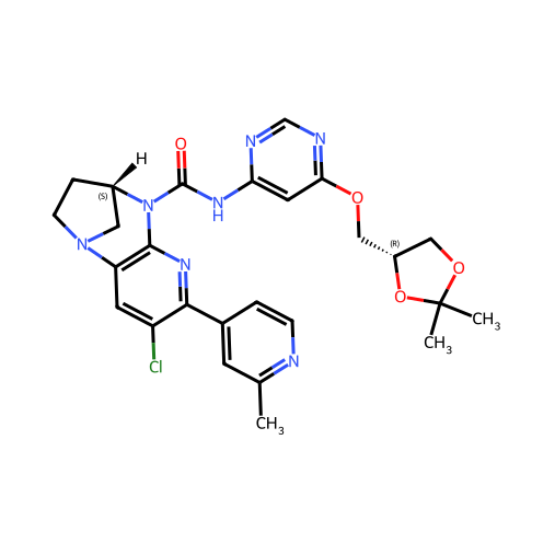 Cc1cc(-c2nc3c(cc2Cl)N2CC[C@@H](C2)N3C(=O)Nc2cc(OC[C@@H]3COC(C)(C)O3)ncn2)ccn1